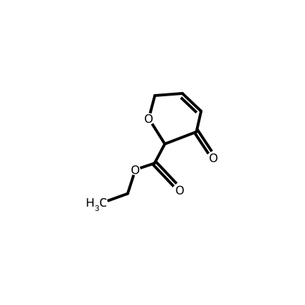 CCOC(=O)C1OCC=CC1=O